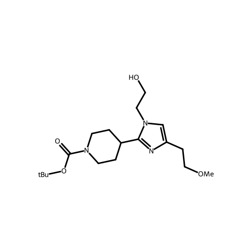 COCCc1cn(CCO)c(C2CCN(C(=O)OC(C)(C)C)CC2)n1